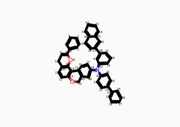 C1=C(c2ccccc2)Oc2c(ccc3c2-c2ccc(N(c4ccc(-c5ccccc5)cc4)c4cccc(-c5ccc6ccccc6c5)c4)cc2CO3)C1